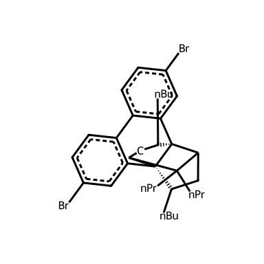 CCCCC1CC2C(CCC)(CCC)C3CC(CCCC)[C@]24c2cc(Br)ccc2-c2ccc(Br)cc2[C@@]134